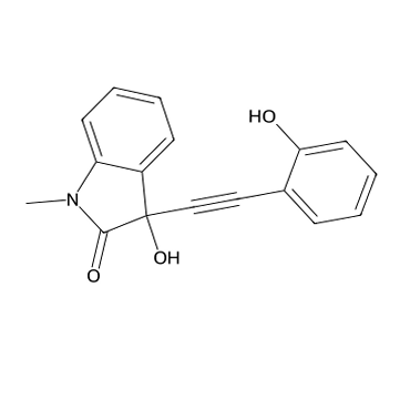 CN1C(=O)C(O)(C#Cc2ccccc2O)c2ccccc21